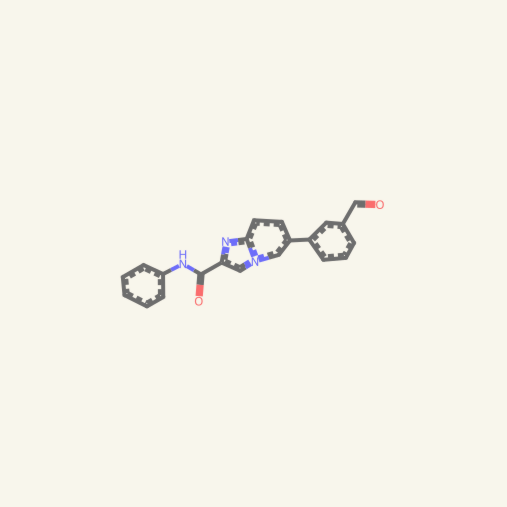 O=Cc1cccc(-c2ccc3nc(C(=O)Nc4ccccc4)cn3c2)c1